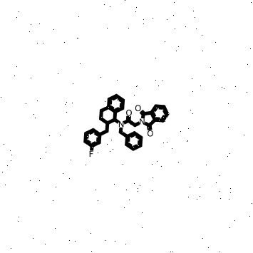 O=C1c2ccccc2C(=O)N1CC(=O)N(Cc1ccccc1)C1c2ccccc2CCC1Cc1cccc(F)c1